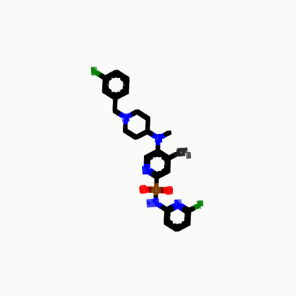 CN(c1cnc(S(=O)(=O)Nc2cccc(F)n2)cc1C(F)(F)F)C1CCN(Cc2cccc(F)c2)CC1